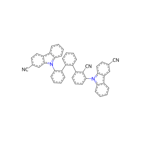 N#Cc1ccc2c(c1)c1ccccc1n2-c1cccc(-c2ccccc2-c2ccccc2-n2c3ccccc3c3ccc(C#N)cc32)c1C#N